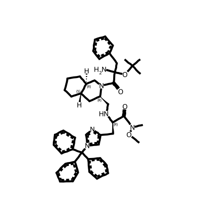 CON(C)C(=O)[C@@H](Cc1cn(C(c2ccccc2)(c2ccccc2)c2ccccc2)cn1)NC[C@H]1C[C@@H]2CCCC[C@H]2CN1C(=O)C(N)(Cc1ccccc1)OC(C)(C)C